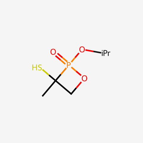 CC(C)OP1(=O)OCC1(C)S